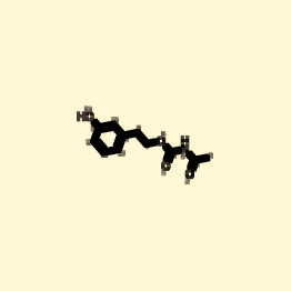 CC(=O)NC(=O)OCCc1cccc(O)c1